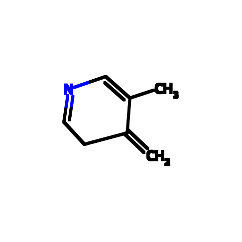 C=C1CC=NC=C1C